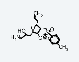 C=CC[C@@H]1O[C@H](CC(O)CN)[C@H](OC)[C@H]1CS(=O)(=O)c1ccc(C)cc1